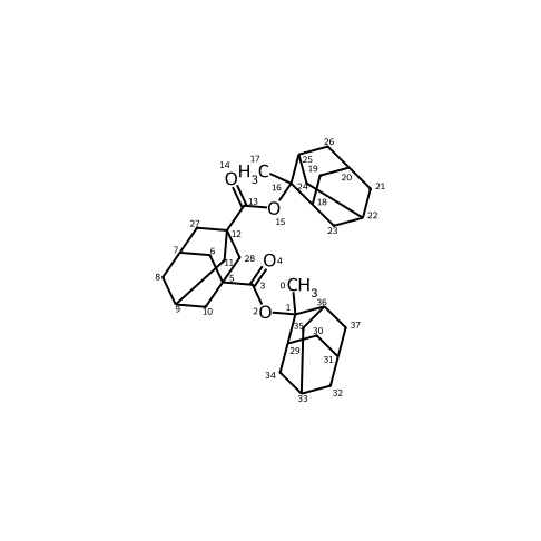 CC1(OC(=O)C23CC4CC(C2)CC(C(=O)OC2(C)C5CC6CC(C5)CC2C6)(C4)C3)C2CC3CC(C2)CC1C3